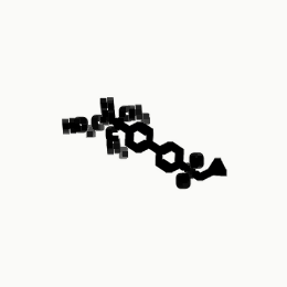 CC(C)(NC(=O)O)c1ccc(-c2ccc(S(=O)(=O)CC3CC3)cc2)cc1